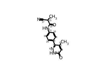 Cc1cc(=O)[nH]nc1-c1ccc(NC(=O)C(C)C#N)cc1